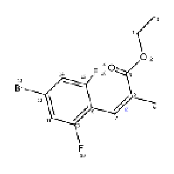 CCOC(=O)/C(C)=C\c1c(F)cc(Br)cc1F